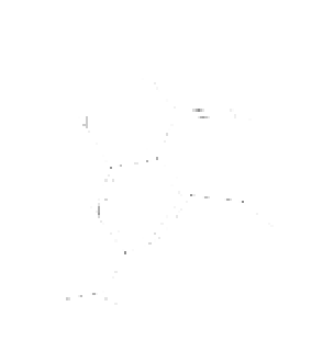 CCc1cc(SC)nc(N)c1[N+](=O)[O-]